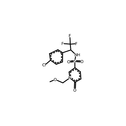 COCn1cc(S(=O)(=O)NC(c2ccc(Cl)cc2)C(F)(F)F)ccc1=O